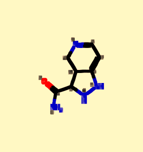 NC(=O)C1NNC2=CC=NCC21